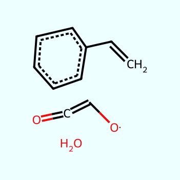 C=Cc1ccccc1.O.[O]C=C=O